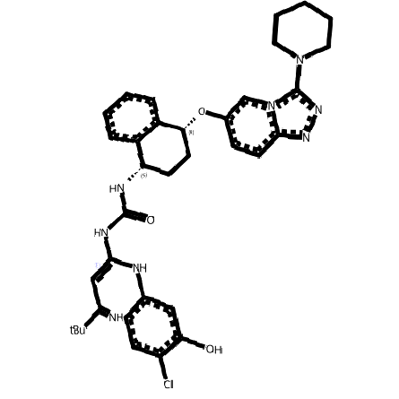 CC(C)(C)C(=N)/C=C(/NC(=O)N[C@H]1CC[C@@H](Oc2ccc3nnc(N4CCCCC4)n3c2)c2ccccc21)Nc1ccc(Cl)c(O)c1